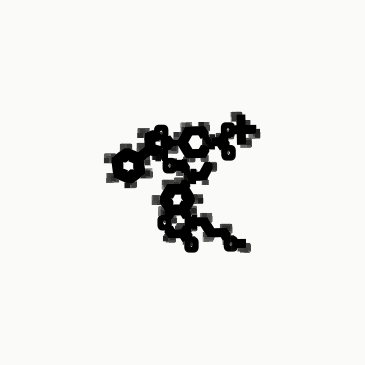 CCN(C(=O)[C@H]1CN(C(=O)OC(C)(C)C)CC[C@@H]1c1nc(-c2ccccc2)co1)c1ccc2c(c1)N(CCCOC)C(=O)CO2